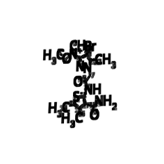 C=[N+](OC)c1nn(CC(=O)Nc2sc(C)c(C)c2C(N)=O)c(C)c1Br